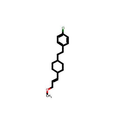 COC/C=C/C1CCC(CCc2ccc(Cl)cc2)CC1